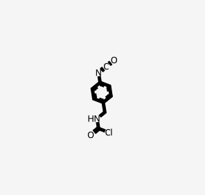 O=C=Nc1ccc(CNC(=O)Cl)cc1